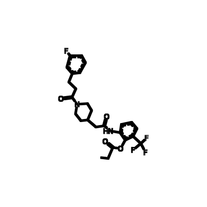 CCC(=O)Oc1c(NC(=O)CC2CCN(C(=O)CCc3cccc(F)c3)CC2)cccc1C(F)(F)F